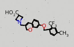 Cc1ccc(COc2ccc3c(c2)OCC(CN2CC(C(=O)O)C2)=C3)c(C(F)(F)F)c1